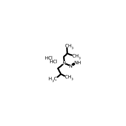 CC(C)CN(CC(C)C)N=N.Cl.Cl